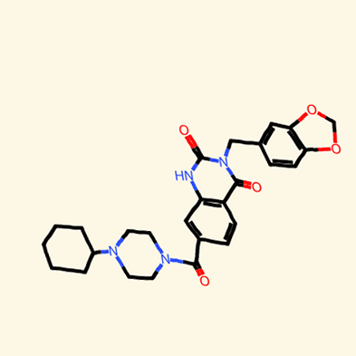 O=C(c1ccc2c(=O)n(Cc3ccc4c(c3)OCO4)c(=O)[nH]c2c1)N1CCN(C2CCCCC2)CC1